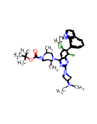 C[C@H]1CN(c2nc(N3CC(N(C)C)C3)nc3c(F)c(-c4cccc5ccn(C)c45)c(Cl)cc23)[C@@H](C)CN1C(=O)OC(C)(C)C